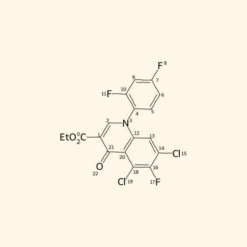 CCOC(=O)c1cn(-c2ccc(F)cc2F)c2cc(Cl)c(F)c(Cl)c2c1=O